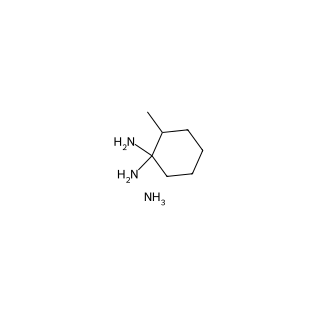 CC1CCCCC1(N)N.N